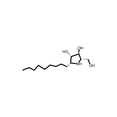 CCCCCCCCC[C@H]1N[C@@H](CO)[C@H](O)[C@H]1O